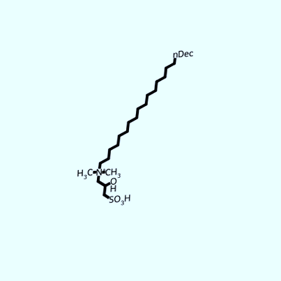 CCCCCCCCCCCCCCCCCCCCCCCCCC[N+](C)(C)CC(O)CS(=O)(=O)O